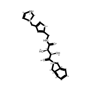 O=C(NCc1cc(CN2C=CNC2)cs1)[C@H](O)[C@@H](O)C(=O)N1Cc2ccccc2C1